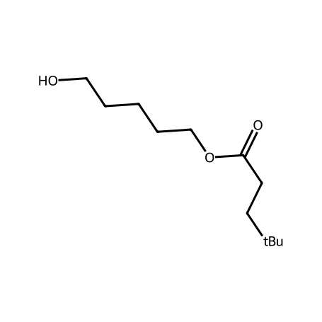 CC(C)(C)CCC(=O)OCCCCCO